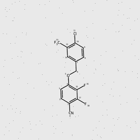 N#Cc1ccc(OCc2ccc(Cl)c(C(F)(F)F)c2)c(F)c1F